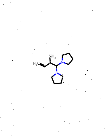 C=CC([SiH3])C(N1CCCC1)N1CCCC1